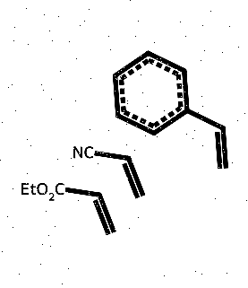 C=CC#N.C=CC(=O)OCC.C=Cc1ccccc1